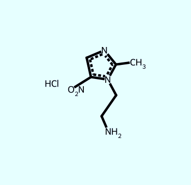 Cc1ncc([N+](=O)[O-])n1CCN.Cl